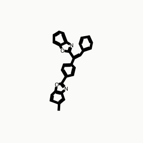 Cc1ccc2oc(-c3ccc(C(=Cc4ccccc4)c4nc5ccccc5o4)cc3)nc2c1